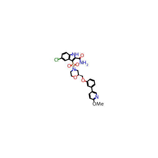 COc1ccc(-c2cccc(OC[C@@H]3CN(S(=O)(=O)c4c(C(N)=O)[nH]c5ccc(Cl)cc45)CCO3)c2)cn1